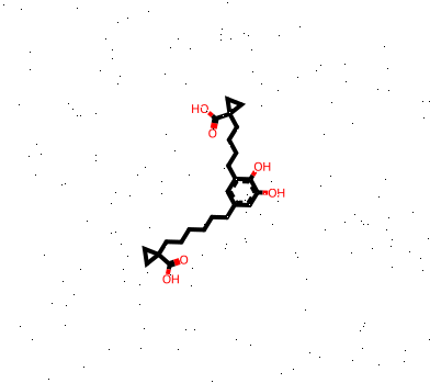 O=C(O)C1(CCCCCCc2cc(O)c(O)c(CCCCC3(C(=O)O)CC3)c2)CC1